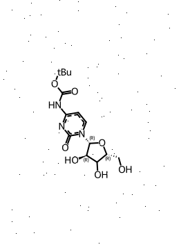 CC(C)(C)OC(=O)Nc1ccn([C@@H]2O[C@H](CO)C(O)[C@H]2O)c(=O)n1